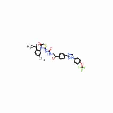 Cc1ccc(C(C)C)c(N2C(=O)CS/C2=N\C(=O)NCC(Br)c2ccc(-c3ncn(-c4ccc(OC(F)(F)F)cc4)n3)cc2)c1